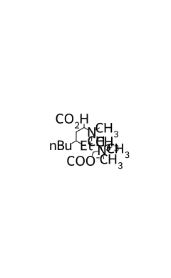 CCCCC(CC)CC(C(=O)O)N(C)C.C[N+](C)(C)CC(=O)[O-]